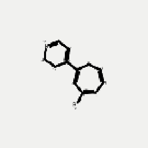 BrC1=CC=CCC(C2=CC=NCC2)=C1